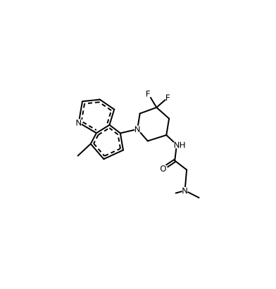 Cc1ccc(N2CC(NC(=O)CN(C)C)CC(F)(F)C2)c2cccnc12